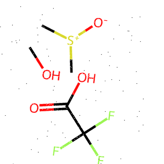 CO.C[S+](C)[O-].O=C(O)C(F)(F)F